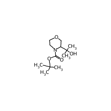 CC(C)(C)OC(=O)N1CCOCC1C(C)(C)O